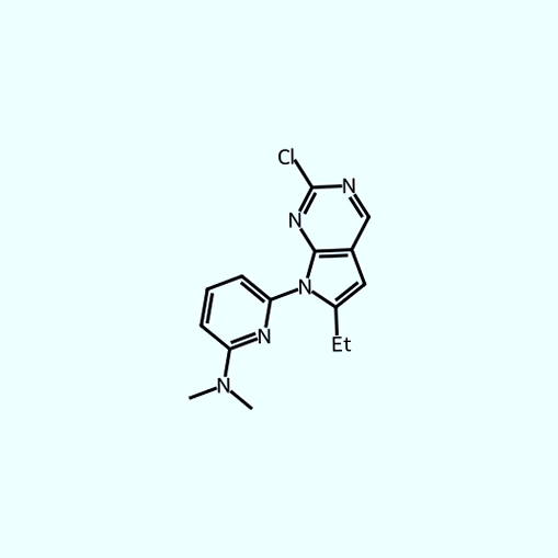 CCc1cc2cnc(Cl)nc2n1-c1cccc(N(C)C)n1